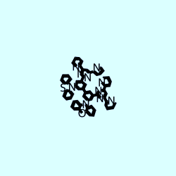 c1ccc(-c2cc(-c3ccccn3)nc(-c3cc(-c4cc(-c5nc(-c6ccccn6)cc(-c6ccccn6)n5)cc(N5c6ccccc6Sc6ccccc65)c4)cc(N4c5ccccc5Oc5ccccc54)c3)n2)nc1